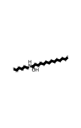 CCCCCCCCCCCCCC(O)NCCCCCC